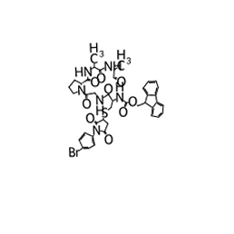 CC(C=O)NC(=O)C(C)NC(=O)[C@@H]1CCCN1C(=O)CNC(=O)C(CSC1CC(=O)N(c2ccc(Br)cc2)C1=O)NC(=O)OCC1c2ccccc2-c2ccccc21